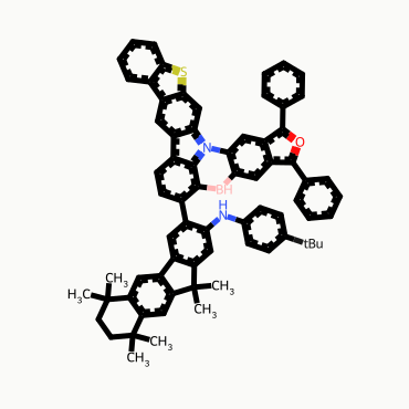 CC(C)(C)c1ccc(Nc2cc3c(cc2-c2ccc4c5cc6c(cc5n5c4c2Bc2cc4c(-c7ccccc7)oc(-c7ccccc7)c4cc2-5)sc2ccccc26)-c2cc4c(cc2C3(C)C)C(C)(C)CCC4(C)C)cc1